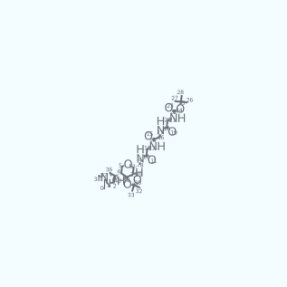 Cn1cc([C@@H]2CO[C@H](CNC(=O)CNC(=O)CNC(=O)CNC(=O)OC(C)(C)C)[C@@H]3OC(C)(C)O[C@@H]32)c[n+]1C